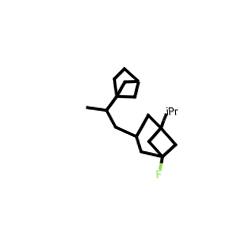 CC(C)C12CC(CC(C)C34CCC(C3)C4)CC(F)(C1)C2